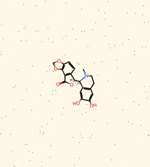 CN1CCc2cc(O)c(O)cc2[C@H]1[C@@H]1OC(=O)c2c1ccc1c2OCO1